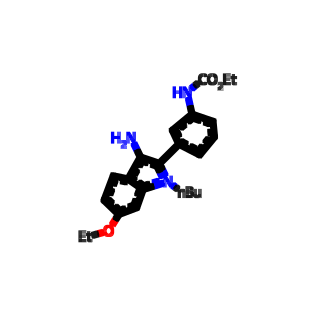 CCCCn1c(-c2cccc(NC(=O)OCC)c2)c(N)c2ccc(OCC)cc21